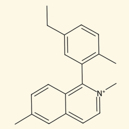 CCc1ccc(C)c(-c2c3ccc(C)cc3cc[n+]2C)c1